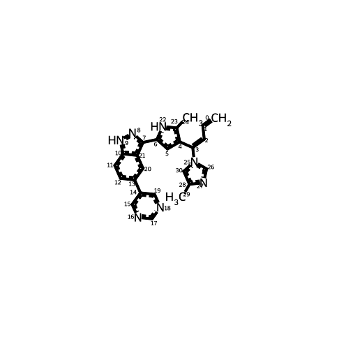 C=C/C=C(\c1cc(-c2n[nH]c3ccc(-c4cncnc4)cc23)[nH]c1C)n1cnc(C)c1